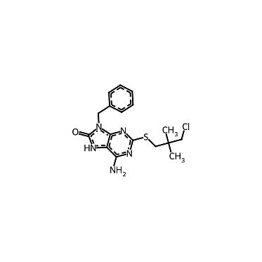 CC(C)(CCl)CSc1nc(N)c2[nH]c(=O)n(Cc3ccccc3)c2n1